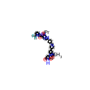 CC(C)Oc1cc2nc([C@H]3CC[C@H](CN4CCC(c5ccc6c(c5)n(C)c(=O)n6C5CCC(=O)NC5=O)CC4)CC3)cn2cc1C(=O)Nc1cccc(C(F)F)n1